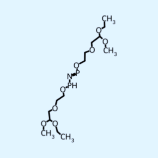 CCOC(COCCOP=NPOCCOCC(OC)OCC)OC